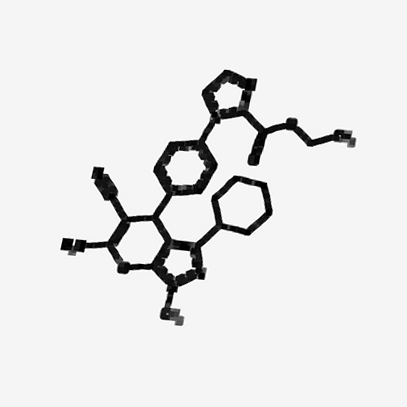 CCOC(=O)c1nccn1-c1ccc(C2C(C#N)=C(N)Oc3c2c(C2CCCCC2)nn3C)cc1